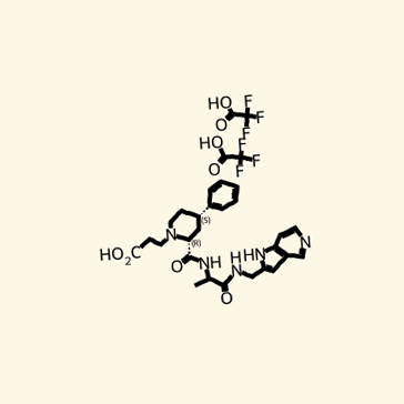 CC(NC(=O)[C@H]1C[C@@H](c2ccccc2)CCN1CCC(=O)O)C(=O)NCc1cc2cnccc2[nH]1.O=C(O)C(F)(F)F.O=C(O)C(F)(F)F